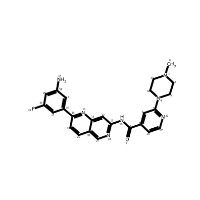 CN1CCN(c2cc(C(=O)Nc3cc4nc(-c5cc(N)cc(F)c5)ccc4cn3)ccn2)CC1